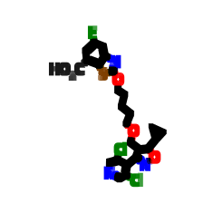 O=C(O)c1cc(F)cc2nc(OCCCCCOCc3c(-c4c(Cl)cncc4Cl)noc3C3CC3)sc12